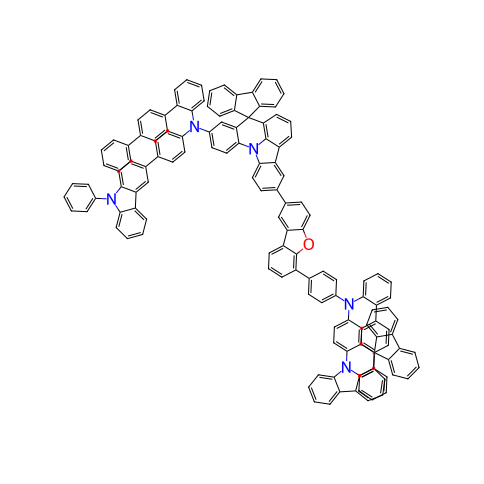 c1ccc(-c2ccc(-c3ccccc3N(c3ccc(-c4cccc5c4oc4ccc(-c6ccc7c(c6)c6cccc8c6n7-c6ccc(N(c7ccc(-c9ccc%10c(c9)c9ccccc9n%10-c9ccccc9)cc7)c7ccccc7-c7ccc(-c9ccccc9)cc7)cc6C86c7ccccc7-c7ccccc76)cc45)cc3)c3ccc4c(c3)C3(c5ccccc5-c5ccccc53)c3cccc5c6ccccc6n-4c35)cc2)cc1